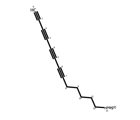 C#CC#CC#CC#CCCCCC[CH]CCCCCC